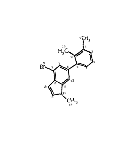 Cc1cccc(-c2cc(Br)c3c(c2)C(C)C=C3)c1C